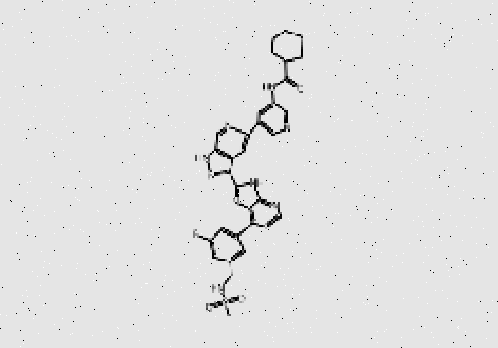 CS(=O)(=O)NCc1cc(F)cc(-c2ccnc3[nH]c(-c4n[nH]c5cnc(-c6cncc(NC(=O)C7CCCCC7)c6)cc45)nc23)c1